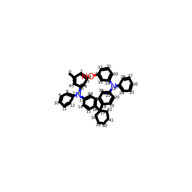 Cc1cccc(N(c2ccccc2)c2ccc(C3(c4ccc(N(c5ccccc5)c5cccc(O)c5)cc4)CCCCC3)cc2)c1